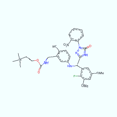 COc1cc(OC)c(F)c(C(Nc2ccc(C#N)c(CNC(=O)OCC[Si](C)(C)C)c2)c2nn(-c3ccccc3[N+](=O)[O-])c(=O)[nH]2)c1